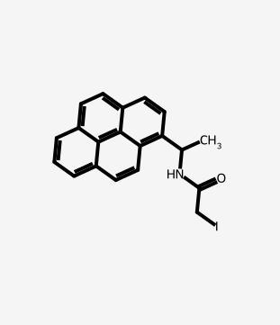 CC(NC(=O)CI)c1ccc2ccc3cccc4ccc1c2c34